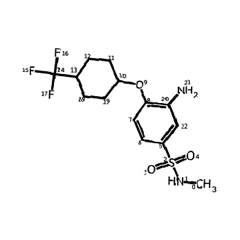 CNS(=O)(=O)c1ccc(OC2CCC(C(F)(F)F)CC2)c(N)c1